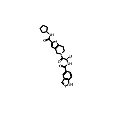 CC[C@@H](NC(=O)c1ccc2[nH]ncc2c1)C(=O)N1CCc2sc(C(=O)NC3CCCC3)cc2C1